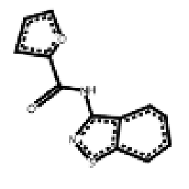 O=C(Nc1nsc2ccccc12)c1ccco1